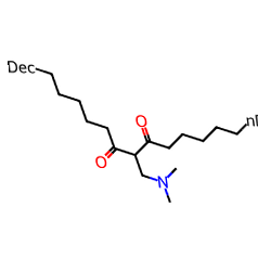 CCCCCCCCCCCCCCCC(=O)C(CN(C)C)C(=O)CCCCCCCCCCCCCCC